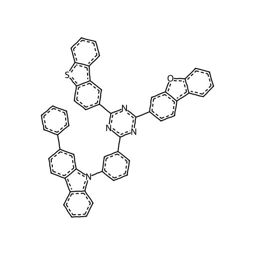 c1ccc(-c2ccc3c4ccccc4n(-c4cccc(-c5nc(-c6ccc7c(c6)oc6ccccc67)nc(-c6ccc7sc8ccccc8c7c6)n5)c4)c3c2)cc1